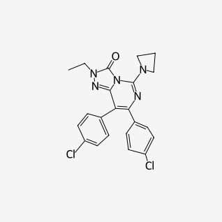 CCn1nc2c(-c3ccc(Cl)cc3)c(-c3ccc(Cl)cc3)nc(N3CCC3)n2c1=O